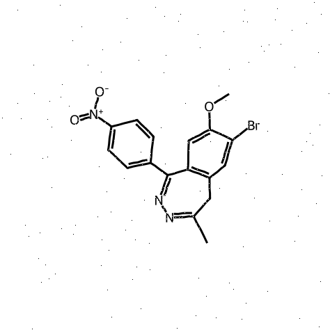 COc1cc2c(cc1Br)CC(C)=NN=C2c1ccc([N+](=O)[O-])cc1